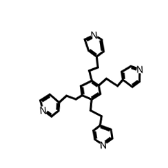 c1cc(CCc2cc(CCc3ccncc3)c(CCc3ccncc3)cc2CCc2ccncc2)ccn1